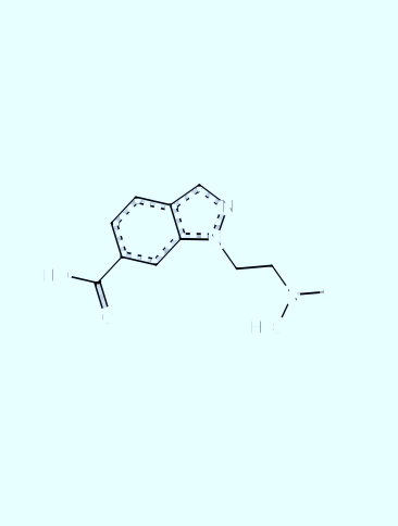 CN(C)CCn1ncc2ccc(C(=O)O)cc21